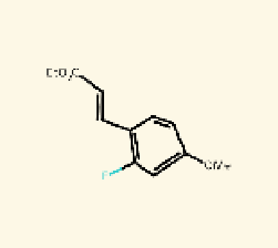 CCOC(=O)/C=C/c1ccc(OC)cc1F